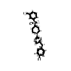 O=S(=O)(c1cccc(Cl)c1)C1CCN(c2nc(Cc3ccc(Cl)cc3)cs2)CC1